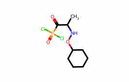 CC(NOC1CCCCC1)C(=O)P(=O)(Cl)Cl